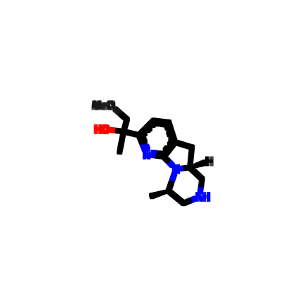 COCC(C)(O)c1ccc2c(n1)N1[C@@H](CNC[C@H]1C)C2